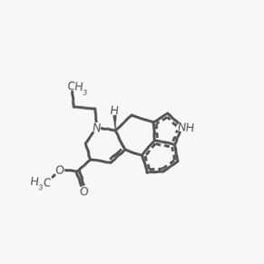 CCCN1CC(C(=O)OC)C=C2c3cccc4[nH]cc(c34)C[C@H]21